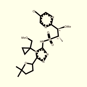 COCC1(n2c(NS(=O)(=O)[C@@H](C)[C@H](OC)c3ncc(Cl)cn3)nnc2C2CCC(C)(C)O2)CC1